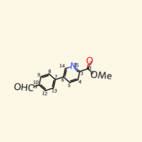 COC(=O)c1ccc(-c2ccc(C=O)cc2)cn1